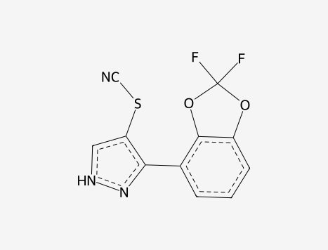 N#CSc1c[nH]nc1-c1cccc2c1OC(F)(F)O2